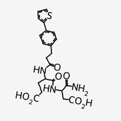 NC(=O)C(CC(=O)O)NC(=O)C(CCC(=O)O)NC(=O)CCc1ccc(-c2cccs2)cc1